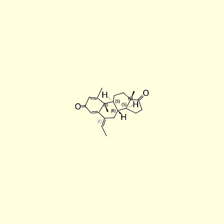 C/C=C1\C[C@@H]2[C@H](CC[C@]3(C)C(=O)CC[C@@H]23)[C@@]2(C)C(C)=CC(=O)C=C12